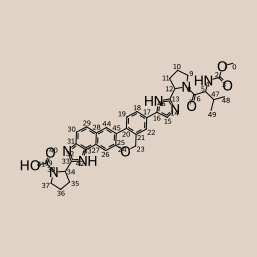 COC(=O)NC(C(=O)N1CCCC1c1ncc(-c2ccc3c(c2)COc2cc4c(ccc5nc(C6CCCN6C(=O)O)[nH]c54)cc2-3)[nH]1)C(C)C